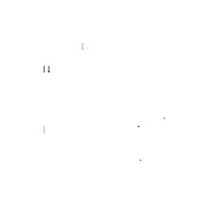 O=[N+]([O-])c1cc(Cl)c2[nH]cnc2c1